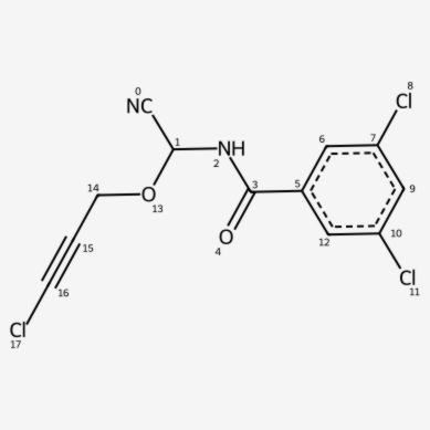 N#CC(NC(=O)c1cc(Cl)cc(Cl)c1)OCC#CCl